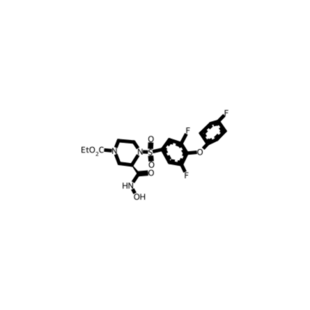 CCOC(=O)N1CCN(S(=O)(=O)c2cc(F)c(Oc3ccc(F)cc3)c(F)c2)[C@@H](C(=O)NO)C1